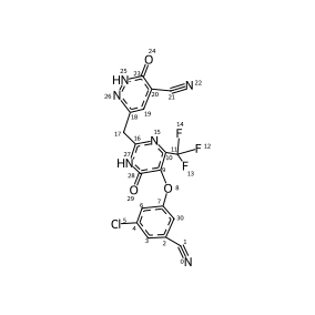 N#Cc1cc(Cl)cc(Oc2c(C(F)(F)F)nc(Cc3cc(C#N)c(=O)[nH]n3)[nH]c2=O)c1